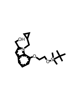 CC(C)(C)[Si](C)(C)OCCOc1cccc2cc(CO)n(CC3CC3)c12